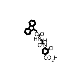 O=C(CNC(=O)OCC1c2ccccc2-c2ccccc21)Nc1ccc(C(=O)O)cc1Cl